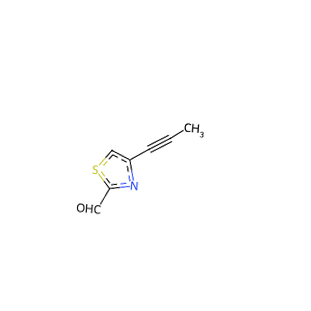 CC#Cc1csc(C=O)n1